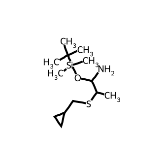 CC(SCC1CC1)C(N)O[Si](C)(C)C(C)(C)C